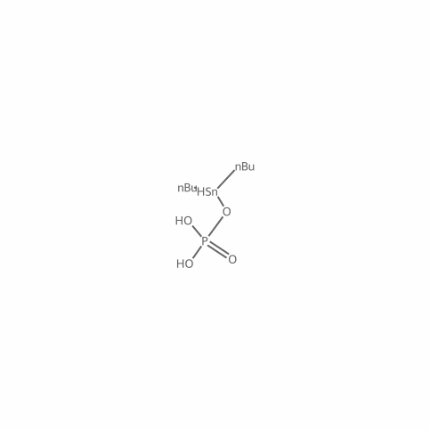 CCC[CH2][SnH]([CH2]CCC)[O]P(=O)(O)O